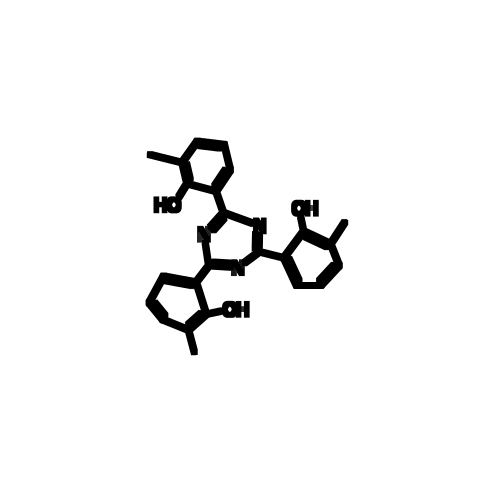 Cc1cccc(-c2nc(-c3cccc(C)c3O)nc(-c3cccc(C)c3O)n2)c1O